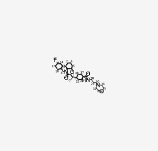 C/C(=C1/Oc2ccccc2N(Cc2ccc(F)cc2)C1=O)c1ccc(C(=O)NCCCN2CCOCC2)cc1